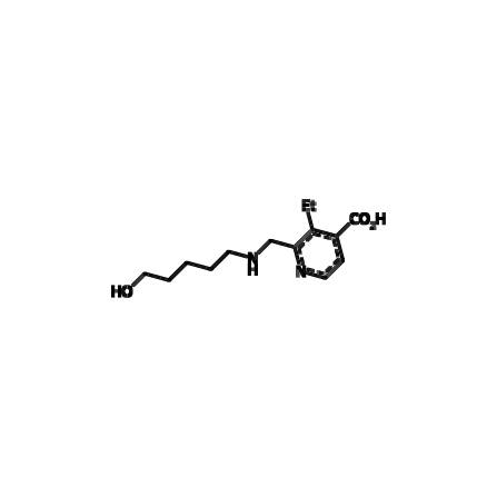 CCc1c(C(=O)O)ccnc1CNCCCCCO